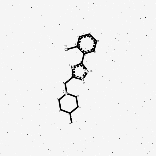 CC1CCN(Cc2nc(-c3ccccc3Cl)no2)CC1